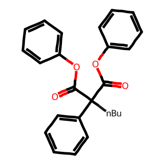 CCCCC(C(=O)Oc1ccccc1)(C(=O)Oc1ccccc1)c1ccccc1